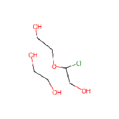 OCCO.OCCOC(Cl)CO